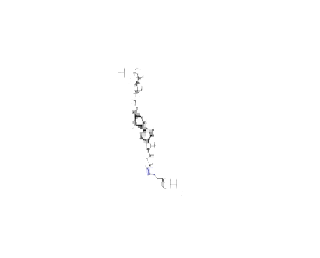 CCCC/C=C\CCCCOc1ccc(-c2ccc(CCCCCOCCC)cc2)nc1